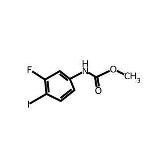 COC(=O)Nc1ccc(I)c(F)c1